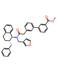 COC(=O)c1cccc(-c2cccc(CC(=O)N(Cc3ccoc3)[C@@H]3c4ccccc4CC[C@H]3Cc3ccccc3)c2)c1